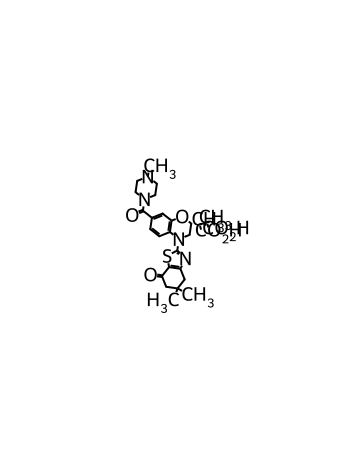 CC(=O)O.CC(=O)O.CN1CCN(C(=O)c2ccc3c(c2)OCCN3c2nc3c(s2)C(=O)CC(C)(C)C3)CC1